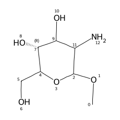 COC1OC(CO)[C@H](O)C(O)C1N